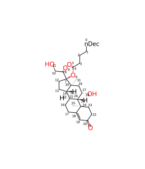 CCCCCCCCCCCCCC(=O)O[C@]1(C(=O)CO)CC[C@H]2[C@@H]3CCC4=CC(=O)CC[C@]4(C)[C@H]3[C@@H](O)C[C@@]21C